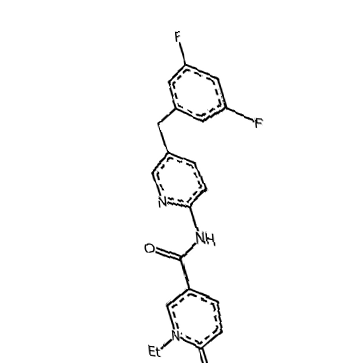 CCn1cc(C(=O)Nc2ccc(Cc3cc(F)cc(F)c3)cn2)ccc1=O